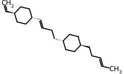 C=C[C@H]1CC[C@H](C=CCC[C@H]2CC[C@H](CCC=CC)CC2)CC1